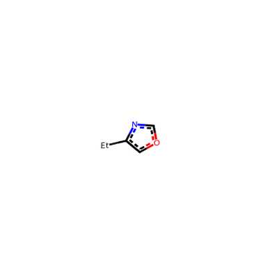 [CH2]Cc1cocn1